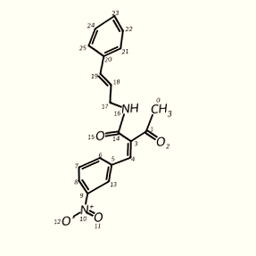 CC(=O)/C(=C/c1cccc([N+](=O)[O-])c1)C(=O)NC/C=C/c1ccccc1